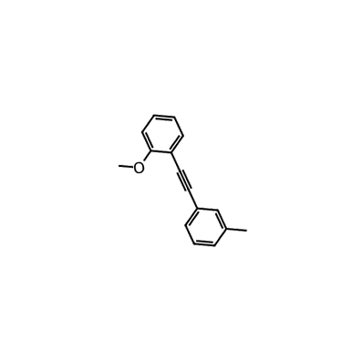 COc1ccccc1C#Cc1cccc(C)c1